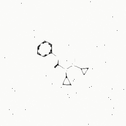 O=C(Oc1ccccc1)N(NC1CC1)C1CC1